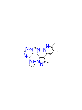 Cc1cc(-c2c(C)n[nH]c2-c2nc(C)n3ncnc(N4CCC4)c23)nnc1C